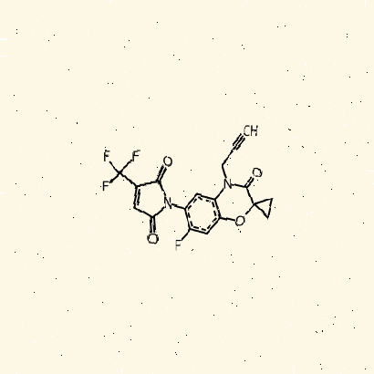 C#CCN1C(=O)C2(CC2)Oc2cc(F)c(N3C(=O)C=C(C(F)(F)F)C3=O)cc21